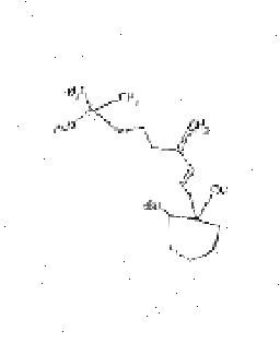 C=C(C=CC1(O)CCCCC1C(C)(C)C)CCCC(C)(C)OC(C)=O